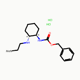 CNCCN[C@@H]1CCCC[C@H]1NC(=O)OCc1ccccc1.Cl.Cl